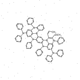 C=CC1=C(/C=C\C)B2c3cc4c(cc3N(c3ccccc3)c3cc(N(c5ccccc5)c5ccccc5)cc(c32)N1c1ccccc1)N(c1ccccc1)c1cc(N(c2ccccc2)c2ccccc2)cc2c1B4c1ccccc1N2c1ccccc1